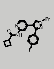 CC(C)n1cc(-c2ccnc(NC(=O)C3CCC3)c2)c(-c2ccc(F)cc2)n1